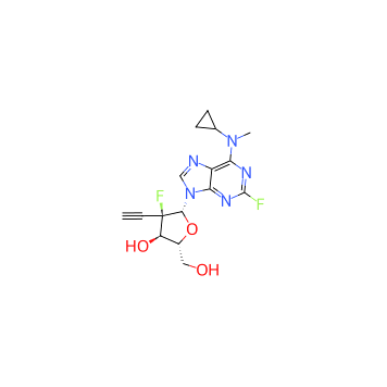 C#C[C@@]1(F)[C@H](O)[C@@H](CO)O[C@H]1n1cnc2c(N(C)C3CC3)nc(F)nc21